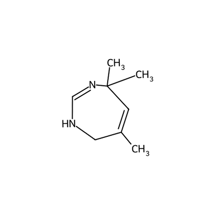 CC1=CC(C)(C)N=CNC1